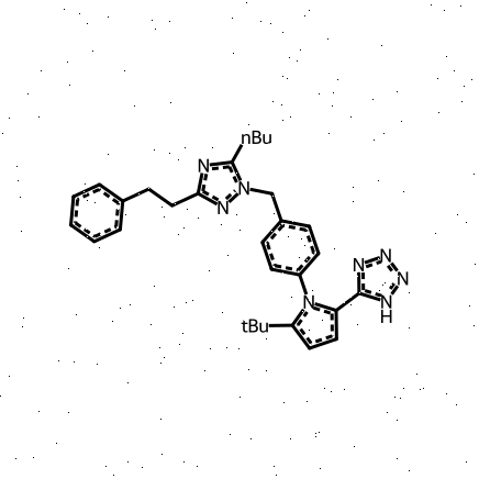 CCCCc1nc(CCc2ccccc2)nn1Cc1ccc(-n2c(-c3nnn[nH]3)ccc2C(C)(C)C)cc1